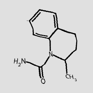 CC1CCc2cc[c]cc2N1C(N)=O